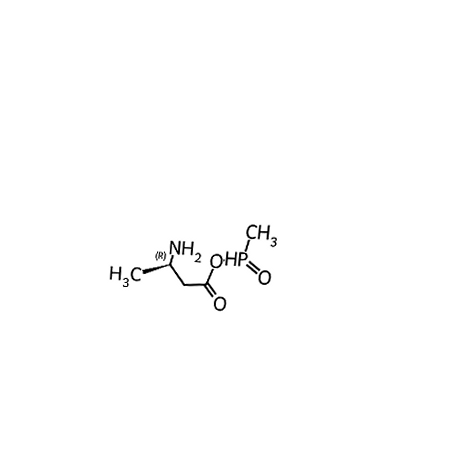 C[C@@H](N)CC(=O)O[PH](C)=O